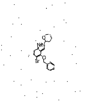 Brc1ccc2nn(C3CCCCO3)cc2c1OCc1ccccc1